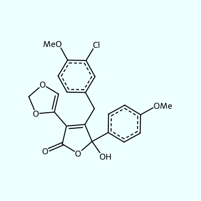 COc1ccc(C2(O)OC(=O)C(C3=COCO3)=C2Cc2ccc(OC)c(Cl)c2)cc1